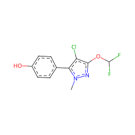 Cn1nc(OC(F)F)c(Cl)c1-c1ccc(O)cc1